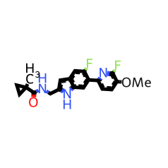 COc1ccc(-c2cc3[nH]c(CNC(=O)C4(C)CC4)cc3cc2F)nc1F